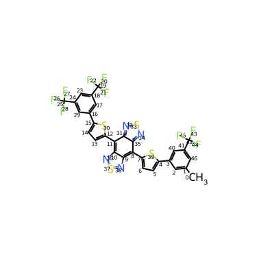 Cc1cc(-c2ccc(-c3c4c(c(-c5ccc(-c6cc(C(F)(F)F)cc(C(F)(F)F)c6)s5)c5nsnc35)N=S=N4)s2)cc(C(F)(F)F)c1